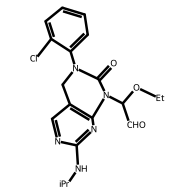 CCOC(C=O)N1C(=O)N(c2ccccc2Cl)Cc2cnc(NC(C)C)nc21